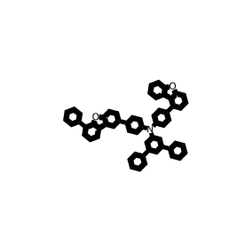 c1ccc(-c2cc(-c3ccccc3)cc(N(c3ccc(-c4ccc5oc6c(-c7ccccc7)cccc6c5c4)cc3)c3ccc(-c4cccc5oc6ccccc6c45)cc3)c2)cc1